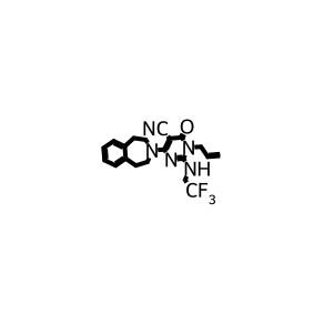 C=CCn1c(NCC(F)(F)F)nc(N2CCc3ccccc3CC2)c(C#N)c1=O